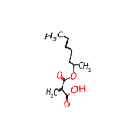 C=C(C(=O)O)C(=O)OC(C)CCCCC